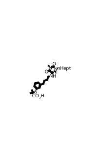 CCCCCCCn1nc(NCCCCc2cccc(SC(C)(C)C(=O)O)c2)c(=O)n(C)c1=O